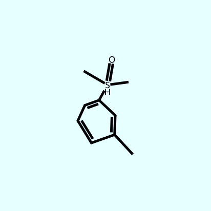 Cc1cccc([SH](C)(C)=O)c1